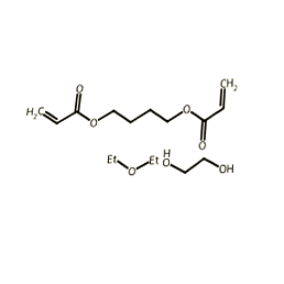 C=CC(=O)OCCCCOC(=O)C=C.CCOCC.OCCO